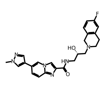 Cn1cc(-c2ccc3nc(C(=O)NC[C@H](O)CN4CCc5cc(F)ccc5C4)cn3c2)cn1